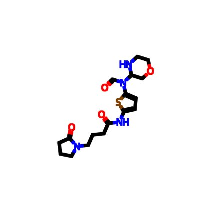 O=CN(c1ccc(NC(=O)CCCN2CCCC2=O)s1)C1COCCN1